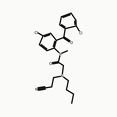 CCCCN(CCC#N)CC(=O)N(C)c1ccc(Cl)cc1C(=O)c1ccccc1Cl